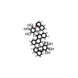 Oc1c(O)c(O)c(N(c2cccc3ccccc23)c2cc3c4ccccc4c(N(c4c(O)c(O)c(O)c(O)c4O)c4cccc5ccccc45)cc3c3ccccc23)c(O)c1O